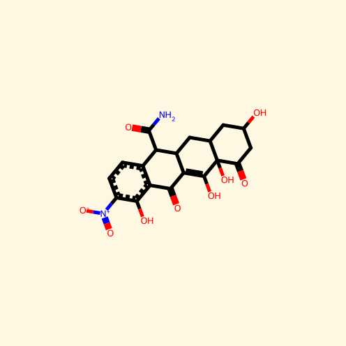 NC(=O)C1c2ccc([N+](=O)[O-])c(O)c2C(=O)C2=C(O)C3(O)C(=O)CC(O)CC3CC21